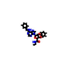 CCNC(=O)[C@H]1O[C@@H](n2cnc3c(NCC4CCCCC4)ncnc32)C2OC3(CCCCC3)OC21